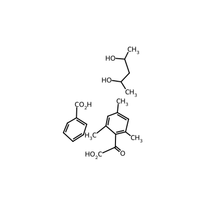 CC(O)CC(C)O.Cc1cc(C)c(C(=O)C(=O)O)c(C)c1.O=C(O)c1ccccc1